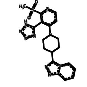 CS(=O)(=O)c1nccc(N2CCC(c3nnc4ccccn34)CC2)c1-c1nnn[nH]1